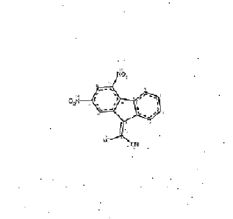 N#CC(C#N)=C1c2ccccc2-c2c1cc([N+](=O)[O-])cc2[N+](=O)[O-]